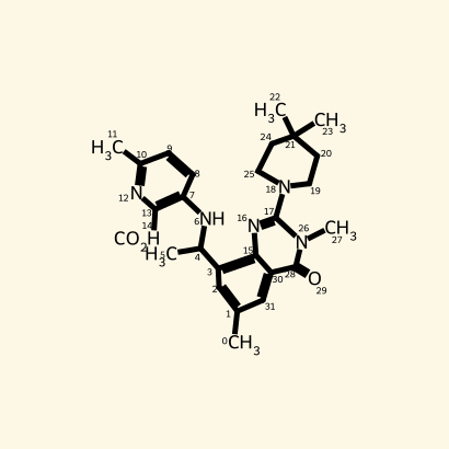 Cc1cc(C(C)Nc2ccc(C)nc2C(=O)O)c2nc(N3CCC(C)(C)CC3)n(C)c(=O)c2c1